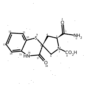 NC(=O)[C@@H]1C[C@]2(CN1C(=O)O)Sc1ccccc1NC2=O